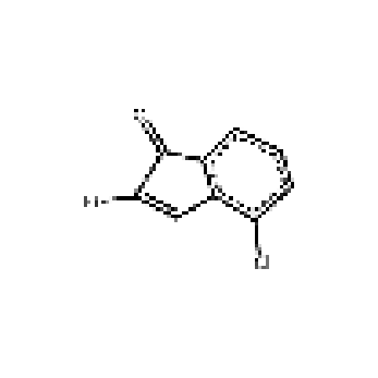 CCC1=Cc2c(Cl)cccc2C1=O